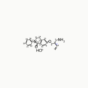 Cl.NC/C(=C/F)COc1ccc2c(c1)CCN(c1ccccc1)C2=O